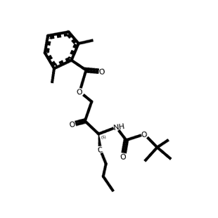 CCCC[C@H](NC(=O)OC(C)(C)C)C(=O)COC(=O)c1c(C)cccc1C